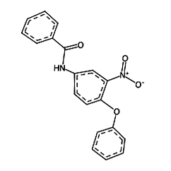 O=C(Nc1ccc(Oc2ccccc2)c([N+](=O)[O-])c1)c1ccccc1